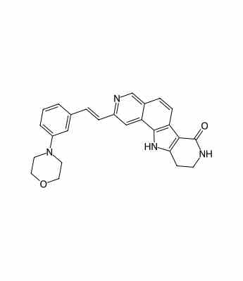 O=C1NCCc2[nH]c3c(ccc4cnc(C=Cc5cccc(N6CCOCC6)c5)cc43)c21